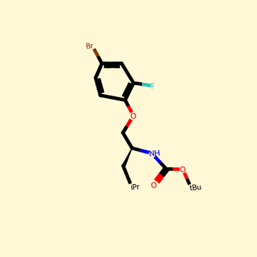 CC(C)C[C@@H](COc1ccc(Br)cc1F)NC(=O)OC(C)(C)C